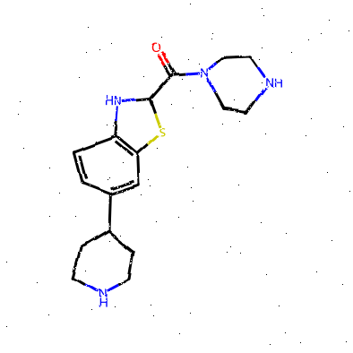 O=C(C1Nc2ccc(C3CCNCC3)cc2S1)N1CCNCC1